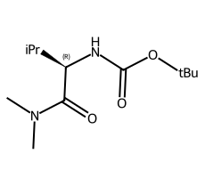 CC(C)[C@@H](NC(=O)OC(C)(C)C)C(=O)N(C)C